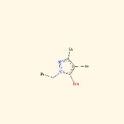 CCc1nn(CC(C)C)c(O)c1C(C)C